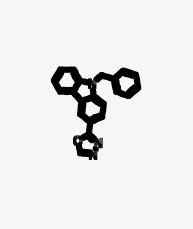 c1ccc(Cn2c3ccccc3c3cc(-c4nnco4)ccc32)cc1